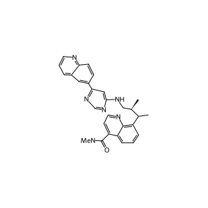 CNC(=O)c1ccnc2c(C(C)[C@H](C)CNc3cc(-c4ccc5ncccc5c4)ncn3)cccc12